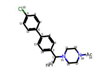 CCCC(c1ccc(-c2ccc(Cl)cc2)cc1)N1CCN(C(C)=O)CC1